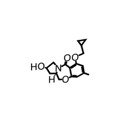 Cc1cc(OCC2CC2)c2c(c1)OC[C@H]1C[C@@H](O)CN1C2=O